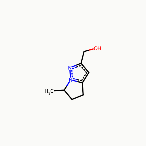 CC1CCc2cc(CO)nn21